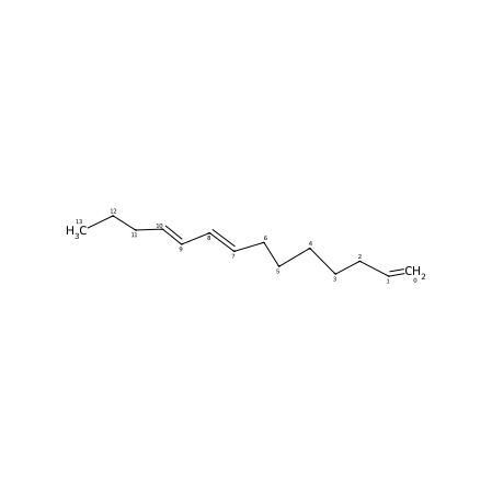 C=CCCCCCC=CC=CCCC